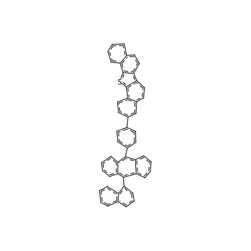 c1ccc2c(-c3c4ccccc4c(-c4ccc(-c5ccc6c(ccc7c8ccc9ccccc9c8sc67)c5)cc4)c4ccccc34)cccc2c1